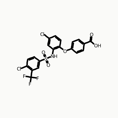 O=C(O)c1ccc(Oc2ccc(Cl)cc2NS(=O)(=O)c2ccc(Cl)c(C(F)(F)F)c2)cc1